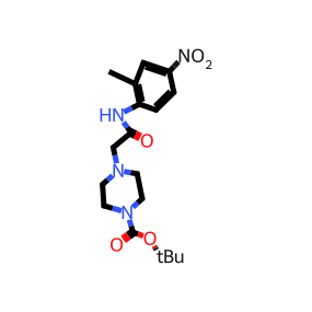 Cc1cc([N+](=O)[O-])ccc1NC(=O)CN1CCN(C(=O)OC(C)(C)C)CC1